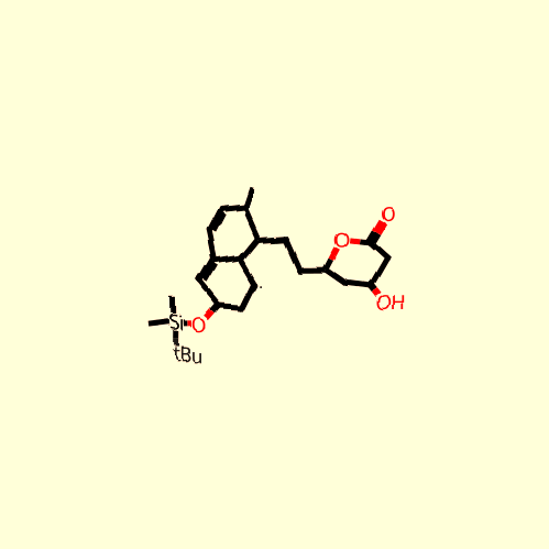 CC1C=CC2=CC(O[Si](C)(C)C(C)(C)C)C[CH]C2C1CCC1CC(O)CC(=O)O1